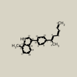 C=C/C=C\C=C(/C)c1ccc(-c2c[nH]c3c(C)cccc23)cc1